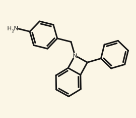 Nc1ccc(CN2c3ccccc3C2c2ccccc2)cc1